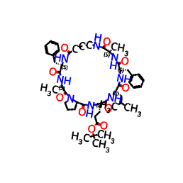 CC(C)C[C@@H]1NC(=O)[C@H](CCC(=O)OC(C)(C)C)NC(=O)C2CCCN2C(=O)[C@H](C)NC(=O)[C@H](Cc2ccccc2)NC(=O)CCCNC(=O)[C@H](C)NC(=O)[C@H](Cc2ccccc2)NC1=O